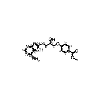 COC(=O)c1ccc(OCC(O)CSc2nc3ncnc(N)c3[nH]2)cc1